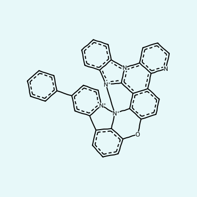 c1ccc(-c2cc[n+]3c(c2)-c2cccc4c2[N+]32c3c(ccc5c6ncccc6n6c7ccccc7[n+]2c6c35)O4)cc1